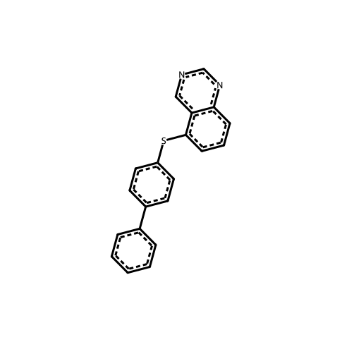 c1ccc(-c2ccc(Sc3cccc4ncncc34)cc2)cc1